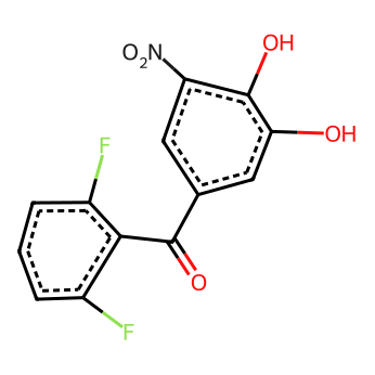 O=C(c1cc(O)c(O)c([N+](=O)[O-])c1)c1c(F)cccc1F